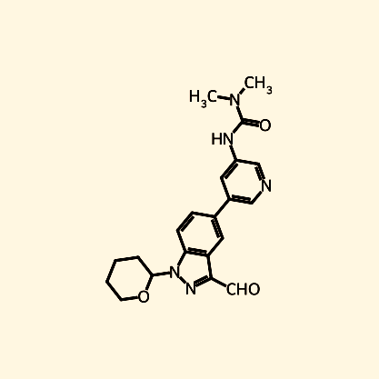 CN(C)C(=O)Nc1cncc(-c2ccc3c(c2)c(C=O)nn3C2CCCCO2)c1